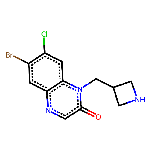 O=c1cnc2cc(Br)c(Cl)cc2n1CC1CNC1